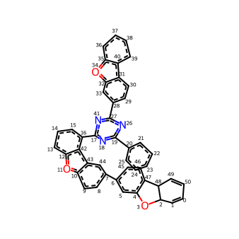 C1=CC2Oc3cc(-c4ccc5oc6cccc(-c7nc(-c8ccccc8)nc(-c8ccc9c(c8)oc8ccccc89)n7)c6c5c4)ccc3C2C=C1